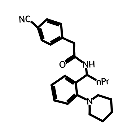 CCCC(NC(=O)Cc1ccc(C#N)cc1)c1ccccc1N1CCCCC1